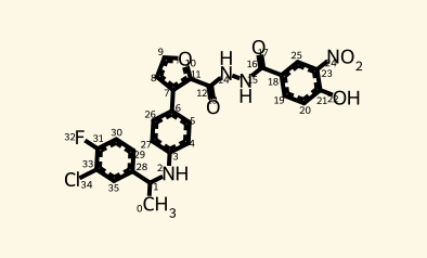 CC(Nc1ccc(-c2ccoc2C(=O)NNC(=O)c2ccc(O)c([N+](=O)[O-])c2)cc1)c1ccc(F)c(Cl)c1